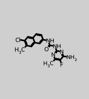 Cc1cc2cc(NC(=O)Nc3nc(C)c(F)c(N)n3)ccc2cc1Cl